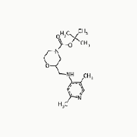 Cc1cc(NCC2CN(C(=O)OC(C)(C)C)CCO2)c(C)cn1